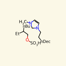 CCCCC(CC)COS(=O)(=O)O.CCCCCCCCCCCCN1C=CN(C)C1